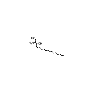 CCCCCCCCCCCCC/C=C\C(O)C(N)CO